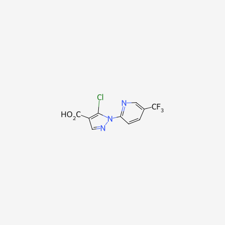 O=C(O)c1cnn(-c2ccc(C(F)(F)F)cn2)c1Cl